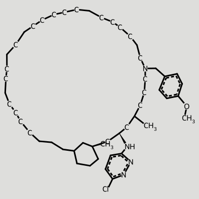 COc1ccc(CN2CCCCCCCCCCCCCCCCCCCCCCCCCC3CCC[C@@](C)(C3)C[C@H](Nc3ccc(Cl)nn3)CC(C)CCC2)cc1